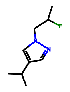 CC(F)Cn1cc(C(C)C)cn1